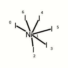 [I][Ni]([I])([I])([I])([I])[I]